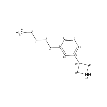 CCCCCc1cccc(C2CNC2)c1